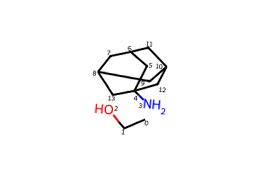 CCO.NC12CC3CC(CC(C3)C1)C2